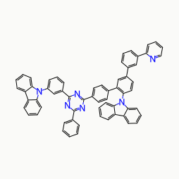 c1ccc(-c2nc(-c3ccc(-c4cc(-c5cccc(-c6ccccn6)c5)ccc4-n4c5ccccc5c5ccccc54)cc3)nc(-c3cccc(-n4c5ccccc5c5ccccc54)c3)n2)cc1